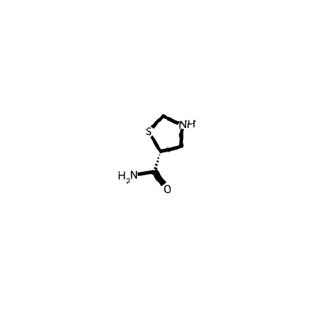 NC(=O)[C@H]1CNCS1